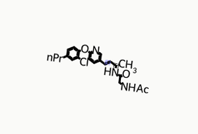 CCCc1ccc(Oc2ccc(/C=C/[C@H](C)NC(=O)CNC(C)=O)cn2)c(Cl)c1